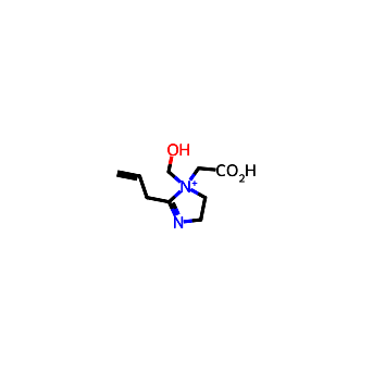 C=CCC1=NCC[N+]1(CO)CC(=O)O